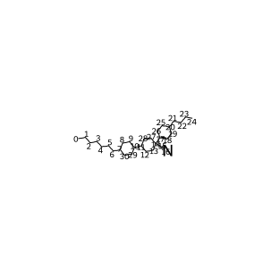 CCCCCCCC1CCC(C2CCC(C#N)(C3=CCC(CCCC)CC3)CC2)CC1